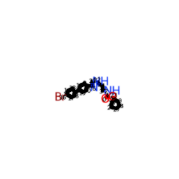 O=C(NCCc1nc(-c2ccc(-c3ccc(Br)cc3)cc2)c[nH]1)OC1CCCCC1